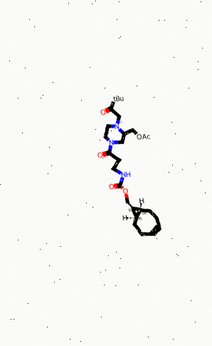 CC(=O)OCC1CN(C(=O)CCNC(=O)OC[C@@H]2[C@@H]3CCC#CCC[C@@H]32)CCN1CC(=O)C(C)(C)C